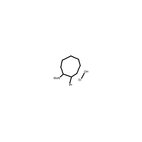 CCO.CNC1CCCCCCC1C(C)C